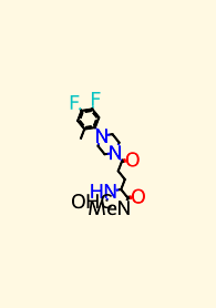 CNC(=O)C(CCC(=O)N1CCN(c2cc(F)c(F)cc2C)CC1)NC=O